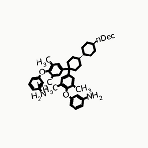 CCCCCCCCCC[C@H]1CC[C@H](C2CCC(c3cc(C)c(Oc4cccc(N)c4)c(C)c3)(c3cc(C)c(Oc4cccc(N)c4)c(C)c3)CC2)CC1